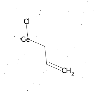 C=C[CH2][Ge][Cl]